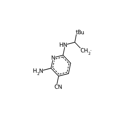 [CH2]C(Nc1ccc(C#N)c(N)n1)C(C)(C)C